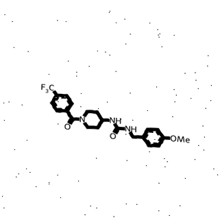 COc1ccc(CNC(=O)NC2CCN(C(=O)c3ccc(C(F)(F)F)cc3)CC2)cc1